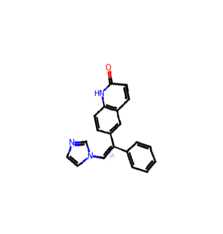 O=c1ccc2cc(/C(=C\n3ccnc3)c3ccccc3)ccc2[nH]1